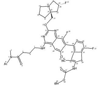 CC(=O)N(C)C(=O)CCCNc1nc(OC[C@@]23CCCN2C[C@H](F)C3)nc2c(F)c(-c3ccc(F)c4sc(NC(=O)OC(C)(C)C)c(C#N)c34)c(Cl)cc12